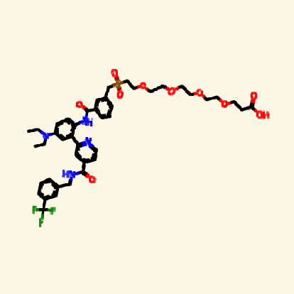 CCN(CC)c1ccc(NC(=O)c2cccc(CS(=O)(=O)CCOCCOCCOCCOCCC(=O)O)c2)c(-c2cc(C(=O)NCc3cccc(C(F)(F)F)c3)ccn2)c1